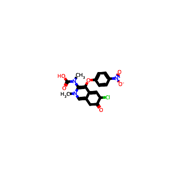 CN1C=C2CC(=O)C(Cl)C=C2C(Oc2ccc([N+](=O)[O-])cc2)=C1N(C)C(=O)O